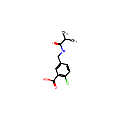 CC(C)C(=O)NCc1ccc(Cl)c(C(=O)O)c1